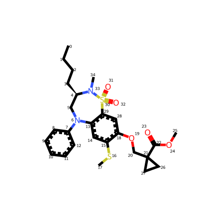 CCCC[C@@H]1CN(c2ccccc2)c2cc(SC)c(OCC3(C(=O)OC)CC3)cc2S(=O)(=O)N1C